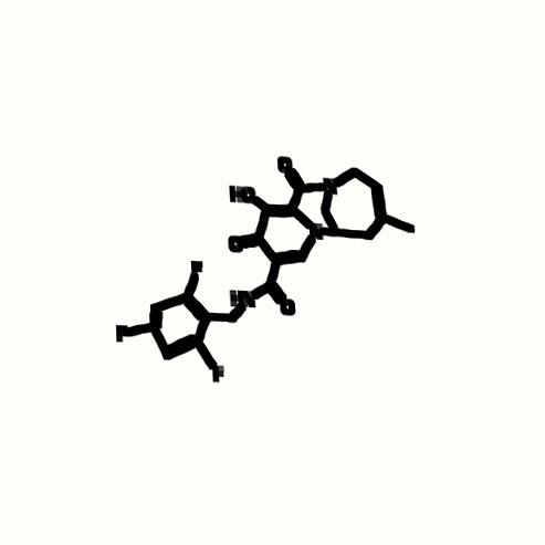 CC1=CCN2CC(C1)n1cc(C(=O)NCc3c(F)cc(F)cc3F)c(=O)c(O)c1C2=O